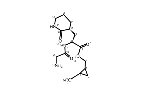 CC1CC1COC(=O)[C@H](C[C@@H]1CCCNC1=O)NC(=O)CN